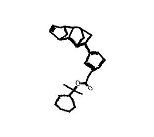 CC(C)(OC(=O)c1cccc(C2CC3CC2C2C4C=CC(C4)C32)c1)C1CCCCC1